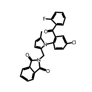 Cc1ccc(CN2C(=O)c3ccccc3C2=O)n1-c1ccc(Cl)cc1C(=O)c1ccccc1F